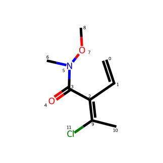 C=C/C(C(=O)N(C)OC)=C(\C)Cl